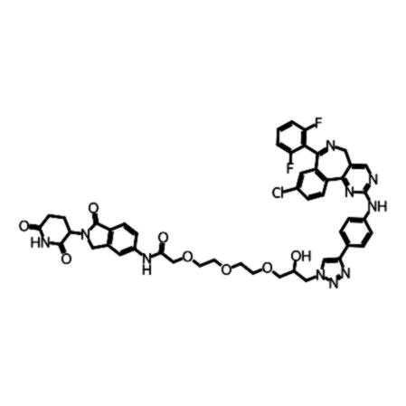 O=C1CCC(N2Cc3cc(NC(=O)COCCOCCOCC(O)Cn4cc(-c5ccc(Nc6ncc7c(n6)-c6ccc(Cl)cc6C(c6c(F)cccc6F)=NC7)cc5)nn4)ccc3C2=O)C(=O)N1